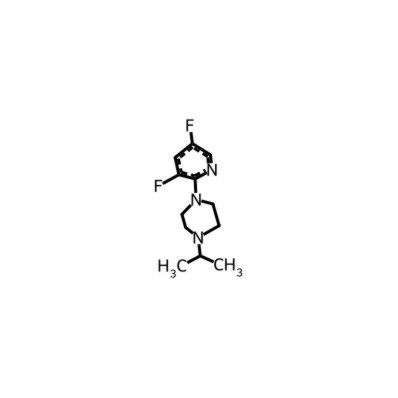 CC(C)N1CCN(c2ncc(F)cc2F)CC1